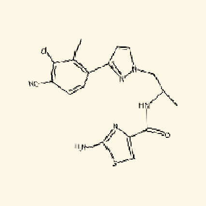 Cc1c(-c2ccn(CC(C)NC(=O)c3csc(N)n3)n2)ccc(C#N)c1Cl